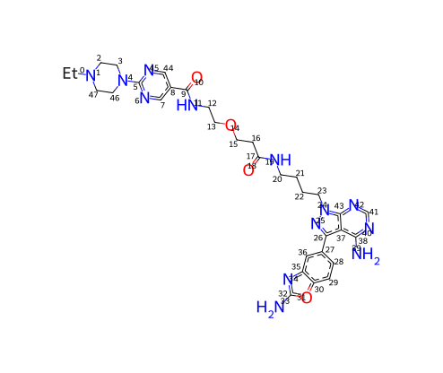 CCN1CCN(c2ncc(C(=O)NCCOCCC(=O)NCCCCn3nc(-c4ccc5oc(N)nc5c4)c4c(N)ncnc43)cn2)CC1